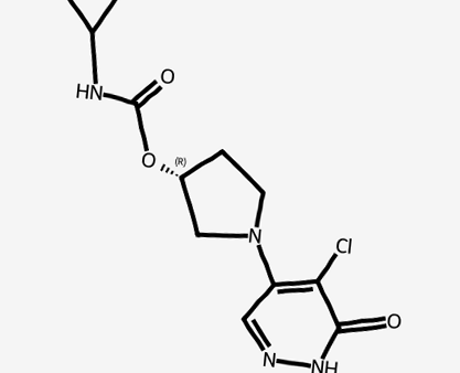 O=C(NC1CC1)O[C@@H]1CCN(c2cn[nH]c(=O)c2Cl)C1